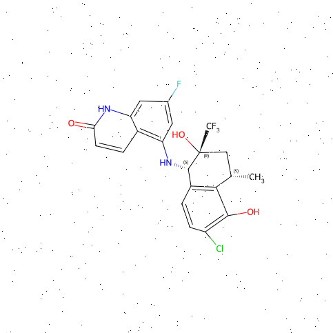 C[C@H]1C[C@](O)(C(F)(F)F)[C@@H](Nc2cc(F)cc3[nH]c(=O)ccc23)c2ccc(Cl)c(O)c21